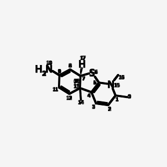 CC1C=CC2=C(S[C@@H]3C=C(N)C=CC23C)N1C